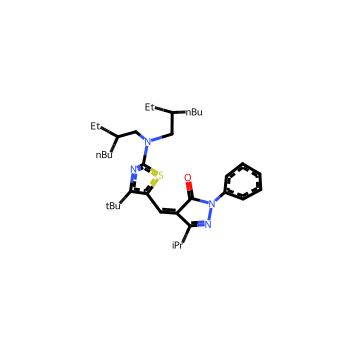 CCCCC(CC)CN(CC(CC)CCCC)c1nc(C(C)(C)C)c(/C=C2\C(=O)N(c3ccccc3)N=C2C(C)C)s1